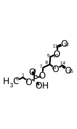 CCOP(=O)(O)OCC(COC=O)OC=O